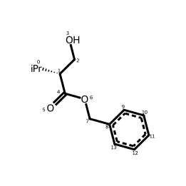 CC(C)[C@H](CO)C(=O)OCc1ccccc1